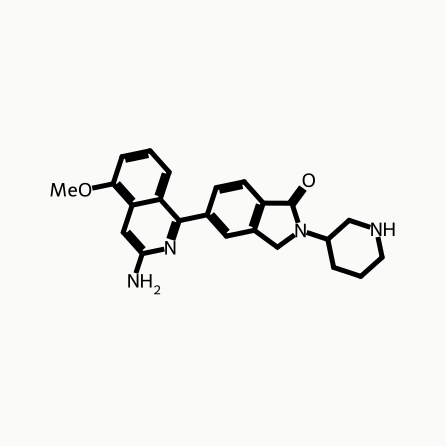 COc1cccc2c(-c3ccc4c(c3)CN(C3CCCNC3)C4=O)nc(N)cc12